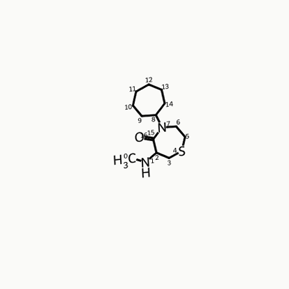 CNC1CSCCN(C2CCCCCC2)C1=O